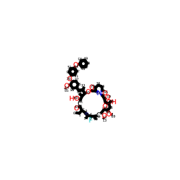 CCC1/C=C(\C)C(F)C(C)CC(OC)C2OC(O)(C(=O)C(=O)N3CCCCC3C(=O)OC(C(C)=CC3CCC(Oc4ccc(Oc5ccccc5)cc4)C(OC)C3)C(C)C(O)CC1=O)C(C)CC2OC